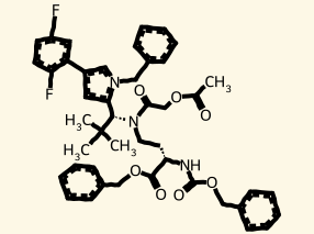 CC(=O)OCC(=O)N(CC[C@H](NC(=O)OCc1ccccc1)C(=O)OCc1ccccc1)[C@@H](c1cc(-c2cc(F)ccc2F)cn1Cc1ccccc1)C(C)(C)C